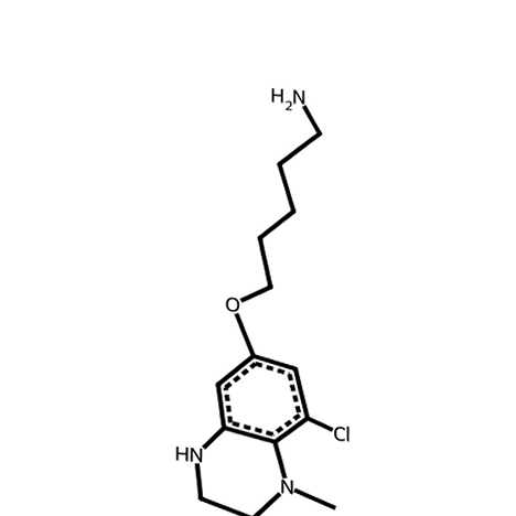 CN1CCNc2cc(OCCCCCN)cc(Cl)c21